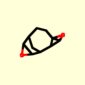 C1CC23OC2C3C2CC1C1OC21